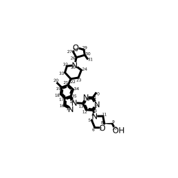 Cc1nc(N2CCO[C@H](CO)C2)cc(-n2ncc3cc(C)c(C4CCN(C5COCC5C)CC4)cc32)n1